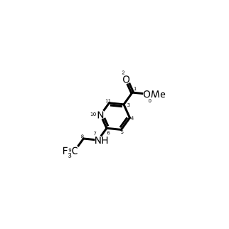 COC(=O)c1ccc(NCC(F)(F)F)nc1